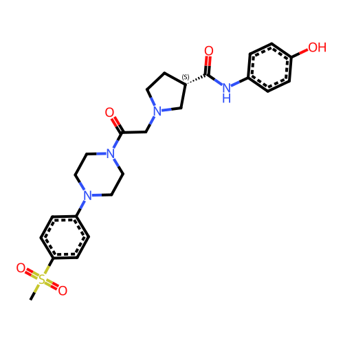 CS(=O)(=O)c1ccc(N2CCN(C(=O)CN3CC[C@H](C(=O)Nc4ccc(O)cc4)C3)CC2)cc1